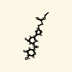 CCOC(=O)CCn1cc(-c2cc(C)cc(Nc3cc(C)c(Cl)cn3)n2)cn1